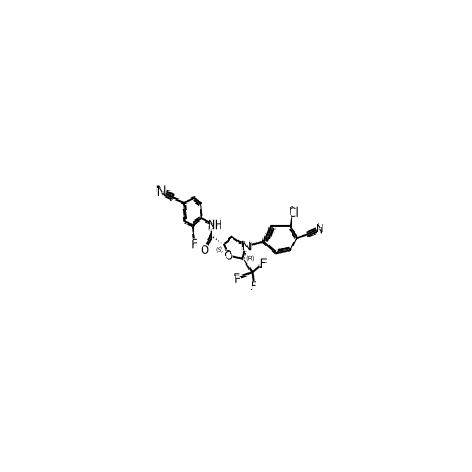 N#Cc1ccc(NC(=O)[C@@H]2CN(c3ccc(C#N)c(Cl)c3)[C@@H](C(F)(F)F)O2)c(F)c1